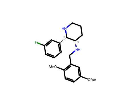 COc1ccc(OC)c(CN[C@H]2CCCN[C@H]2c2cccc(F)c2)c1